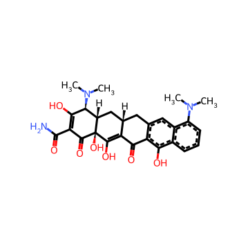 CN(C)c1cccc2c(O)c3c(cc12)C[C@H]1C[C@H]2[C@H](N(C)C)C(O)=C(C(N)=O)C(=O)[C@@]2(O)C(O)=C1C3=O